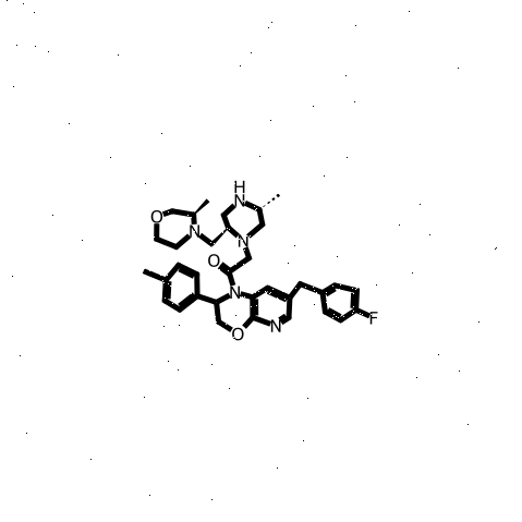 Cc1ccc(C2COc3ncc(Cc4ccc(F)cc4)cc3N2C(=O)CN2C[C@@H](C)NC[C@@H]2CN2CCOC[C@H]2C)cc1